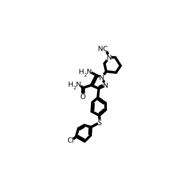 N#CN1CCCC(n2nc(-c3ccc(Sc4ccc(Cl)cc4)cc3)c(C(N)=O)c2N)C1